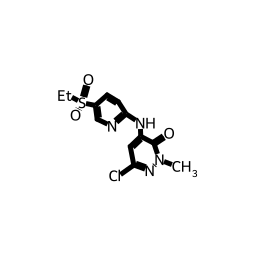 CCS(=O)(=O)c1ccc(Nc2cc(Cl)nn(C)c2=O)nc1